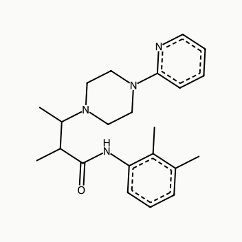 Cc1cccc(NC(=O)C(C)C(C)N2CCN(c3ccccn3)CC2)c1C